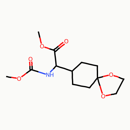 COC(=O)NC(C(=O)OC)C1CCC2(CC1)OCCO2